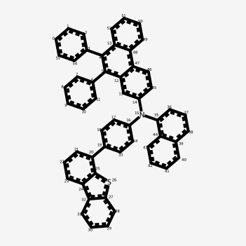 c1ccc(-c2c(-c3ccccc3)c3cc(N(c4ccc(-c5cccc6c5sc5ccccc56)cc4)c4cccc5ccccc45)ccc3c3ccccc23)cc1